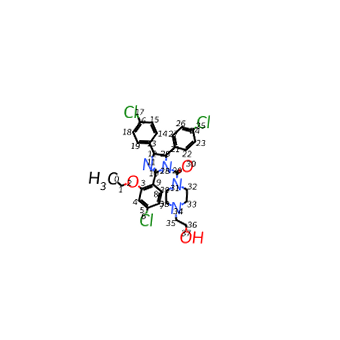 CCOc1cc(Cl)ccc1C1=NC(c2ccc(Cl)cc2)C(c2ccc(Cl)cc2)N1C(=O)N1CCN(CCO)CC1